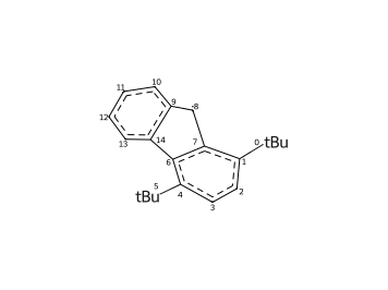 CC(C)(C)c1ccc(C(C)(C)C)c2c1[CH]c1ccccc1-2